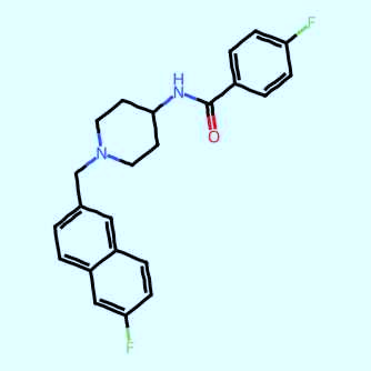 O=C(NC1CCN(Cc2ccc3cc(F)ccc3c2)CC1)c1ccc(F)cc1